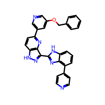 c1ccc(COc2cncc(-c3ccc4[nH]nc(-c5nc6c(-c7ccncc7)cccc6[nH]5)c4n3)c2)cc1